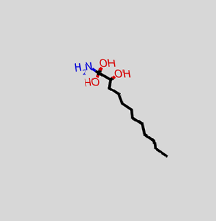 CCCCCCCCCCC(O)C(N)(O)O